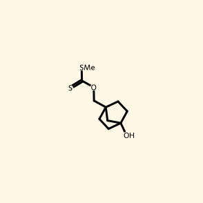 CSC(=S)OCC12CCC(O)(CC1)C2